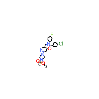 CS(=O)(=O)N1CCN(c2ccc(CN(C(=O)c3ccc(Cl)cc3)c3ccc(F)cc3)cn2)CC1